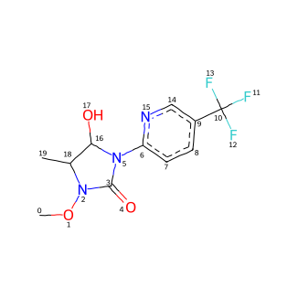 CON1C(=O)N(c2ccc(C(F)(F)F)cn2)C(O)C1C